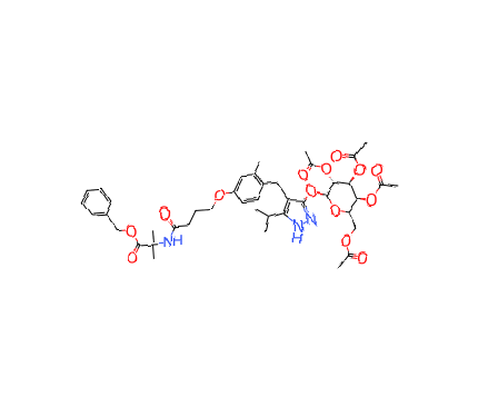 CC(=O)OC[C@H]1O[C@@H](Oc2n[nH]c(C(C)C)c2Cc2ccc(OCCCC(=O)NC(C)(C)C(=O)OCc3ccccc3)cc2C)[C@H](OC(C)=O)[C@@H](OC(C)=O)[C@H]1OC(C)=O